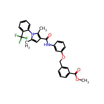 COC(=O)c1cccc(COc2cccc(NC(=O)c3cc(C)n(-c4ccccc4C(F)(F)F)c3C)c2)c1